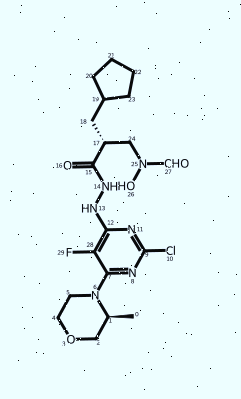 C[C@H]1COCCN1c1nc(Cl)nc(NNC(=O)[C@H](CC2CCCC2)CN(O)C=O)c1F